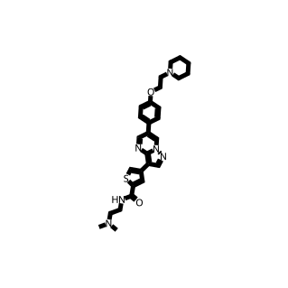 CN(C)CCNC(=O)c1cc(-c2cnn3cc(-c4ccc(OCCN5CCCCC5)cc4)cnc23)cs1